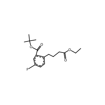 CCOC(=O)CCCc1ccc(F)cc1C(=O)OC(C)(C)C